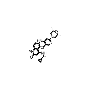 C[C@@H]1CN(c2cc(Nc3ccc4c(c3)c(N[C@H](C)C3CC3)cc(=O)n4C)c(Cl)cn2)C[C@H](C)O1